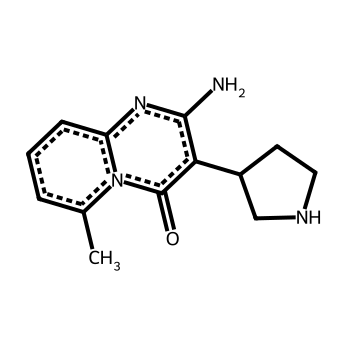 Cc1cccc2nc(N)c(C3CCNC3)c(=O)n12